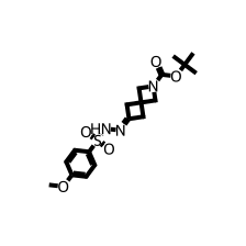 COc1ccc(S(=O)(=O)NN=C2CC3(C2)CN(C(=O)OC(C)(C)C)C3)cc1